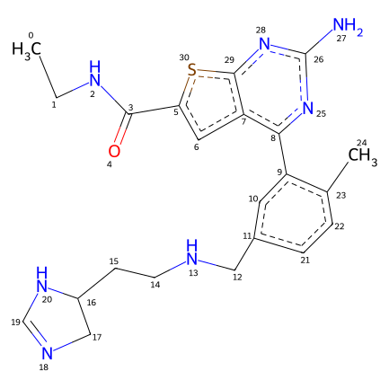 CCNC(=O)c1cc2c(-c3cc(CNCCC4CN=CN4)ccc3C)nc(N)nc2s1